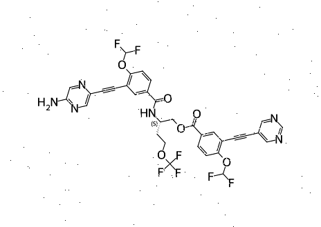 Nc1cnc(C#Cc2cc(C(=O)N[C@@H](CCOC(F)(F)F)COC(=O)c3ccc(OC(F)F)c(C#Cc4cncnc4)c3)ccc2OC(F)F)cn1